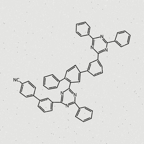 N#Cc1ccc(-c2cccc(-c3nc(-c4ccccc4)nc(-c4cc(-c5cccc(-c6nc(-c7ccccc7)nc(-c7ccccc7)n6)c5)ccc4-c4ccccc4)n3)c2)cc1